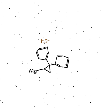 Br.[CH3][Mg][CH]1CC1(c1ccccc1)c1ccccc1